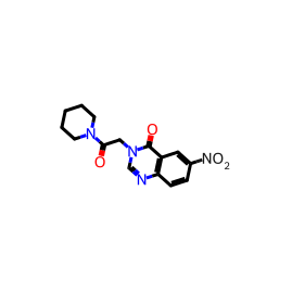 O=C(Cn1cnc2ccc([N+](=O)[O-])cc2c1=O)N1CCCCC1